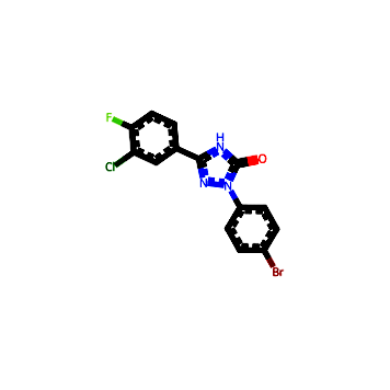 O=c1[nH]c(-c2ccc(F)c(Cl)c2)nn1-c1ccc(Br)cc1